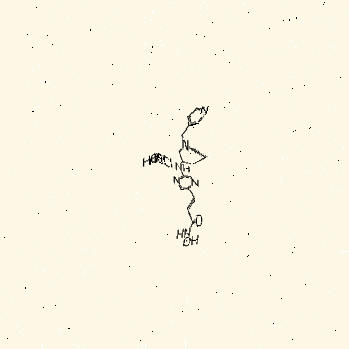 Cl.Cl.Cl.O=C(C=Cc1cnc(N[C@@H]2CCCN(Cc3ccncc3)C2)cn1)NO